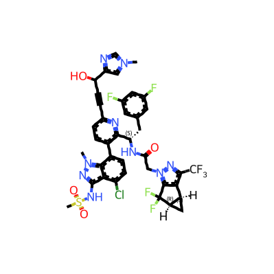 Cn1cnc(C(O)C#Cc2ccc(-c3ccc(Cl)c4c(NS(C)(=O)=O)nn(C)c34)c([C@H](Cc3cc(F)cc(F)c3)NC(=O)Cn3nc(C(F)(F)F)c4c3C(F)(F)[C@@H]3C[C@H]43)n2)c1